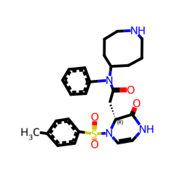 Cc1ccc(S(=O)(=O)N2C=CNC(=O)[C@H]2CC(=O)N(c2ccccc2)C2CCCNCCC2)cc1